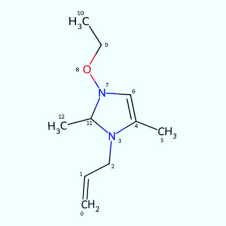 C=CCN1C(C)=CN(OCC)C1C